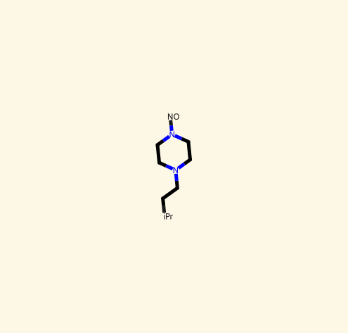 CC(C)CCN1CCN(N=O)CC1